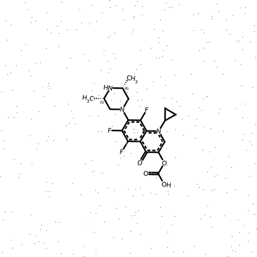 C[C@@H]1CN(c2c(F)c(F)c3c(=O)c(OC(=O)O)cn(C4CC4)c3c2F)C[C@H](C)N1